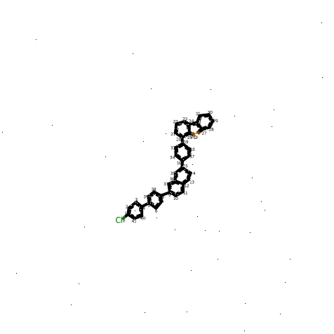 Clc1ccc(-c2ccc(-c3ccc4ccc(-c5ccc(-c6cccc7c6sc6ccccc67)cc5)cc4c3)cc2)cc1